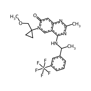 COCC1(n2cc3c(NC(C)c4cccc(S(F)(F)(F)(F)F)c4)nc(C)nc3cc2=O)CC1